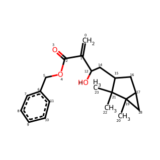 C=C(C(=O)OCc1ccccc1)C(O)CC1CC2CC2(C)C1(C)C